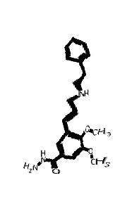 COc1cc(C(=O)NN)cc(C=CCNCCc2ccccc2)c1OC